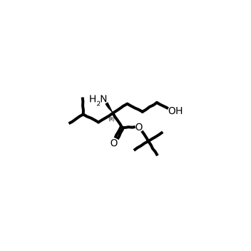 CC(C)C[C@](N)(CCCO)C(=O)OC(C)(C)C